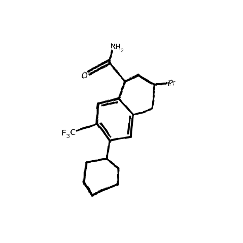 CC(C)C1Cc2cc(C3CCCCC3)c(C(F)(F)F)cc2C(C(N)=O)C1